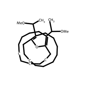 COC(C)/C1=C(/O/C2=C(/C(C)OC)CCCCCCCCCC2)CCCCCCCCCC1